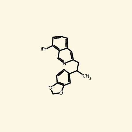 CC(C)c1cccc2cc(CC(C)c3ccc4c(c3)OCO4)ncc12